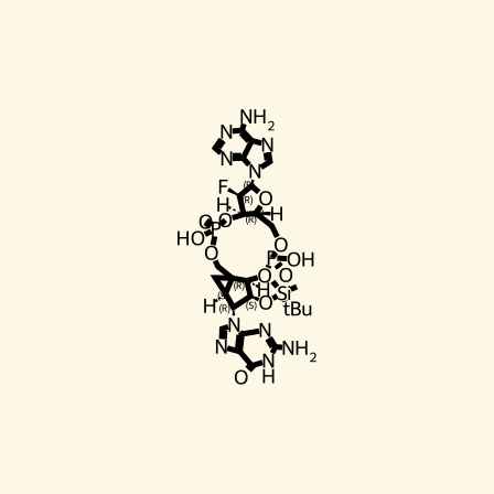 CC(C)(C)[Si](C)(C)O[C@H]1[C@H](n2cnc3c(=O)[nH]c(N)nc32)[C@H]2CC23COP(=O)(O)O[C@H]2[C@@H](F)[C@H](n4cnc5c(N)ncnc54)O[C@@H]2COP(=O)(O)O[C@@H]13